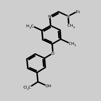 CCN(C)/C=N\c1cc(C)c(Oc2cccc(C(O)C(Cl)(Cl)Cl)c2)cc1C